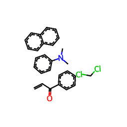 C=CC(=O)c1ccccc1.CN(C)c1ccccc1.ClCCl.c1ccc2ccccc2c1